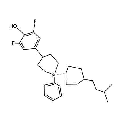 CC(C)CC[C@H]1CC[C@H]([Si]2(c3ccccc3)CCC(c3cc(F)c(O)c(F)c3)CC2)CC1